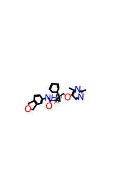 Cc1ncc(OC[C@@]2(C3C=CC=CC3)C[C@H]2C(=O)Nc2ccc3c(c2)COC3)c(C)n1